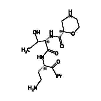 CC(C)C(=O)[C@H](CCN)NC(=O)[C@@H](NC(=O)[C@@H]1CNCCO1)C(C)O